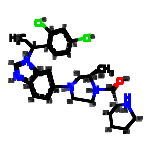 CC(c1ccc(Cl)cc1Cl)n1cnc2ccc(N3CCN(C(=O)[C@H]4CCCCN4)[C@H](C)C3)cc21